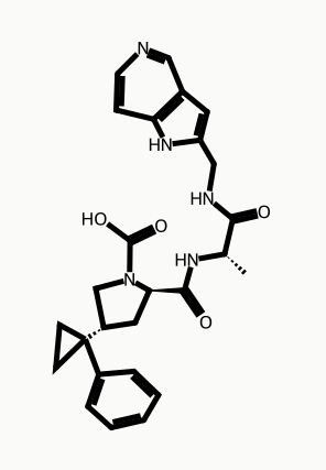 C[C@H](NC(=O)[C@H]1C[C@H](C2(c3ccccc3)CC2)CN1C(=O)O)C(=O)NCc1cc2cnccc2[nH]1